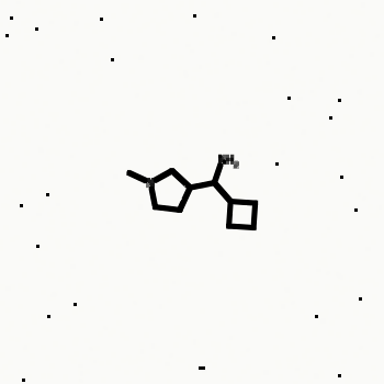 CN1CCC(C(N)C2CCC2)C1